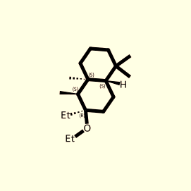 CCO[C@]1(CC)CC[C@H]2C(C)(C)CCC[C@]2(C)[C@@H]1C